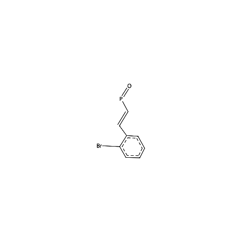 O=PC=Cc1ccccc1Br